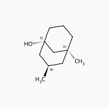 C[C@@H]1C[C@]2(C)CCC[C@](O)(C1)C2